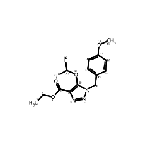 CCOC(=O)c1nnn(Cc2ccc(OC)cc2)c1OC(F)F